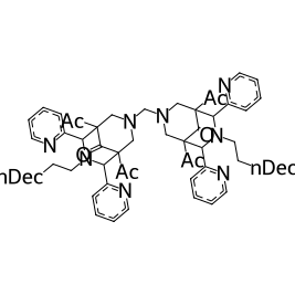 CCCCCCCCCCCCN1C(c2ccccn2)C2(C(C)=O)CN(CN3CC4(C(C)=O)C(=O)C(C(C)=O)(C3)C(c3ccccn3)N(CCCCCCCCCCCC)C4c3ccccn3)CC(C(C)=O)(C2=O)C1c1ccccn1